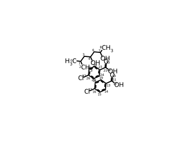 CC(C)CC(O)CC(C)O.O=C(O)c1ccc(Cl)cc1.O=C(O)c1ccc(Cl)cc1